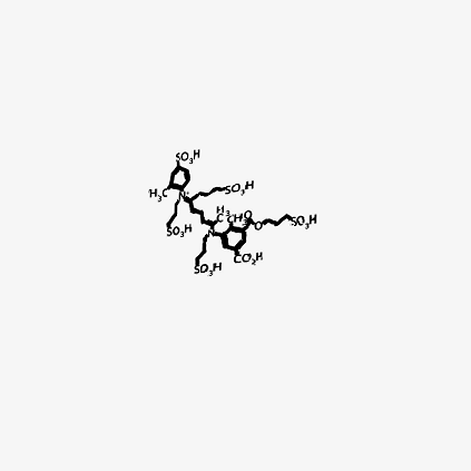 C\C(=C/C=C/C(CCCS(=O)(=O)O)=[N+](\CCCS(=O)(=O)O)c1ccc(S(=O)(=O)O)cc1C)N(CCCS(=O)(=O)O)c1cc(C(=O)O)cc(C(=O)OCCCS(=O)(=O)O)c1C